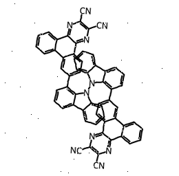 N#Cc1nc2c3ccccc3c3cc(-c4cccc5c6ccccc6n(-n6c7ccccc7c7cccc(-c8ccc9c(c8)c8ccccc8c8nc(C#N)c(C#N)nc98)c76)c45)ccc3c2nc1C#N